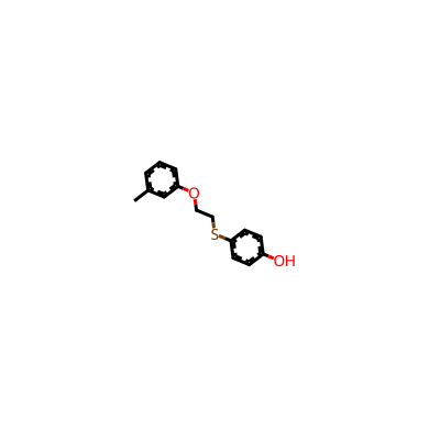 Cc1cccc(OCCSc2ccc(O)cc2)c1